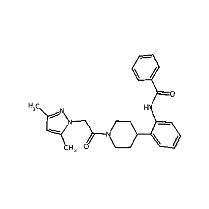 Cc1cc(C)n(CC(=O)N2CCC(c3ccccc3NC(=O)c3ccccc3)CC2)n1